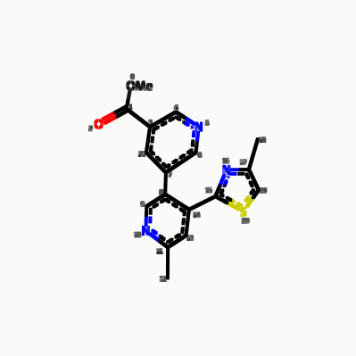 COC(=O)c1cncc(-c2cnc(C)cc2-c2nc(C)cs2)c1